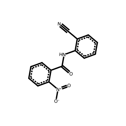 N#Cc1ccccc1NC(=O)c1ccccc1[N+](=O)[O-]